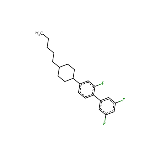 CCCCCC1CCC(c2ccc(-c3cc(F)cc(F)c3)c(F)c2)CC1